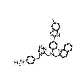 Cc1ccc2nc(-c3ccc(N(Cc4ccc5ccccc5n4)Cc4nncn4Cc4ccc(N)cc4)cc3)sc2c1